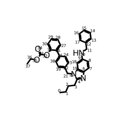 CCCCc1nc2ccc(NCc3ccccc3)cc2n1Cc1ccc(-c2ccccc2OC(=O)OCC)cc1